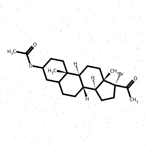 CC(=O)OC1CC[C@@]2(C)C(CC[C@@H]3[C@@H]2CC[C@@]2(C)[C@H]3CC[C@]2(Br)C(C)=O)C1